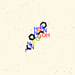 O=C(Nc1cccc(Sc2ncc(I)cn2)c1Cl)C1=C(O)N=C2CCCCN2O1